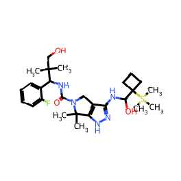 CC(C)(CO)C(NC(=O)N1Cc2c(NC(O)C3(S(C)(C)C)CCC3)n[nH]c2C1(C)C)c1ccccc1F